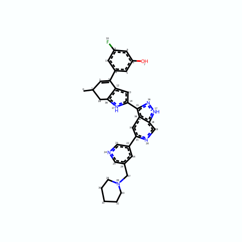 CC1C=C(c2cc(O)cc(F)c2)c2cc(-c3n[nH]c4cnc(-c5cncc(CN6CCCCC6)c5)cc34)[nH]c2C1